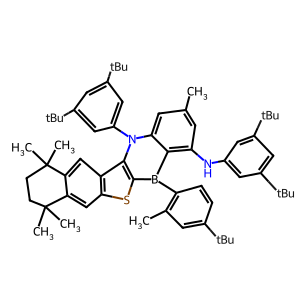 Cc1cc(Nc2cc(C(C)(C)C)cc(C(C)(C)C)c2)c2c(c1)N(c1cc(C(C)(C)C)cc(C(C)(C)C)c1)c1c(sc3cc4c(cc13)C(C)(C)CCC4(C)C)B2c1ccc(C(C)(C)C)cc1C